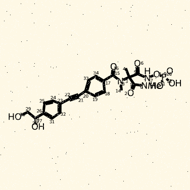 CNC(=O)C(C)(C(=O)NOP(=O)(O)O)N(C)C(=O)c1ccc(C#Cc2ccc([C@H](O)CO)cc2)cc1